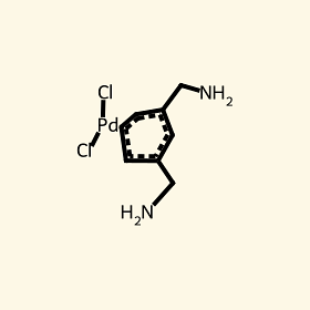 NCc1cccc(CN)c1.[Cl][Pd][Cl]